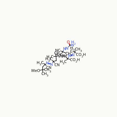 CC(C)(C#N)N=NC(N)=O.CC(C)C(C)(N=NC(C)(C)C(=O)O)C(=O)O.COC(C)(C)CC(C)(C#N)N=NC(C)(C#N)CC(C)(C)OC